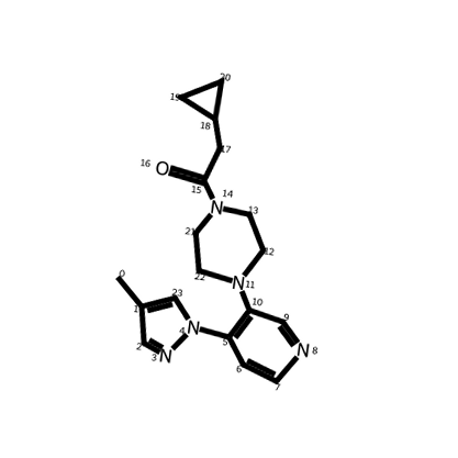 Cc1cnn(-c2ccncc2N2CCN(C(=O)CC3CC3)CC2)c1